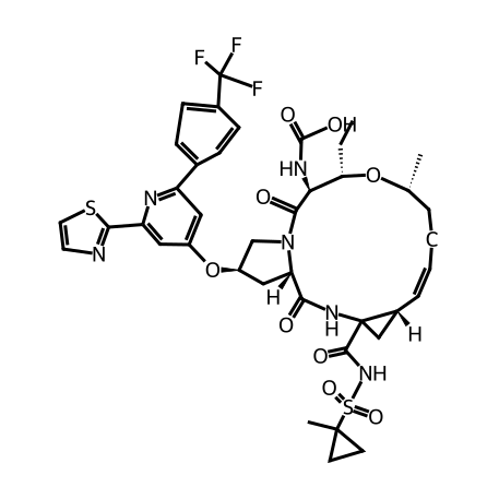 CC[C@@H]1O[C@H](C)CC/C=C\[C@@H]2CC2(C(=O)NS(=O)(=O)C2(C)CC2)NC(=O)[C@@H]2C[C@@H](Oc3cc(-c4ccc(C(F)(F)F)cc4)nc(-c4nccs4)c3)CN2C(=O)[C@H]1NC(=O)O